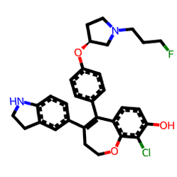 Oc1ccc2c(c1Cl)OCCC(c1ccc3c(c1)CCN3)=C2c1ccc(O[C@H]2CCN(CCCF)C2)cc1